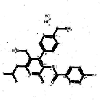 Cc1nc(CC(C)C)c(CN)c(-c2ccc(CN)cc2)c1NC(=O)c1ccc(F)cc1.Cl.Cl